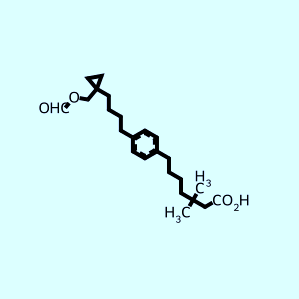 CC(C)(CCCCc1ccc(CCCCC2(COC=O)CC2)cc1)CC(=O)O